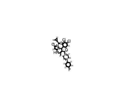 CC1=C(C(=O)N2CCN(c3ccc(F)cc3)CC2)C(c2ccc(Cl)c(Cl)c2)n2c(cc(=O)n2C(=O)C2CC2)N1